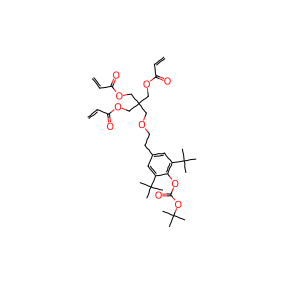 C=CC(=O)OCC(COCCc1cc(C(C)(C)C)c(OC(=O)OC(C)(C)C)c(C(C)(C)C)c1)(COC(=O)C=C)COC(=O)C=C